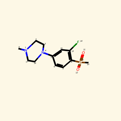 CN1CCN(c2ccc(S(C)(=O)=O)c(F)c2)CC1